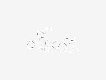 Cc1c(-c2ccc(NC(=O)C(N)C(c3ccccc3)c3ccccc3)cc2F)ccc(=O)n1C.Cl